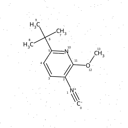 [C-]#[N+]c1ccc(C(C)(C)C)nc1OC